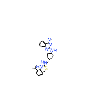 Cc1cccc(C(C)C)c1NC(=S)NC[C@H]1CC[C@@H](Nc2nc(N(C)C)c3ccccc3n2)CC1